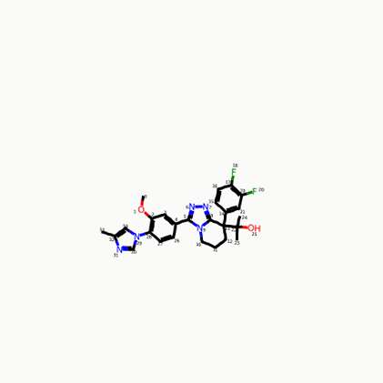 COc1cc(-c2nnc3n2CCCC3(c2ccc(F)c(F)c2)C(C)(C)O)ccc1-n1cnc(C)c1